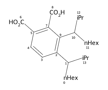 CCCCCCC(c1ccc(C(=O)O)c(C(=O)O)c1C(CCCCCC)C(C)C)C(C)C